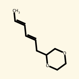 CC=CC=CCC1COCCO1